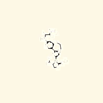 C[C@H](Nc1cc2c(cn1)-c1nc(N3C(=C=O)OC[C@H]3C(F)F)cn1CCO2)C(N)=O